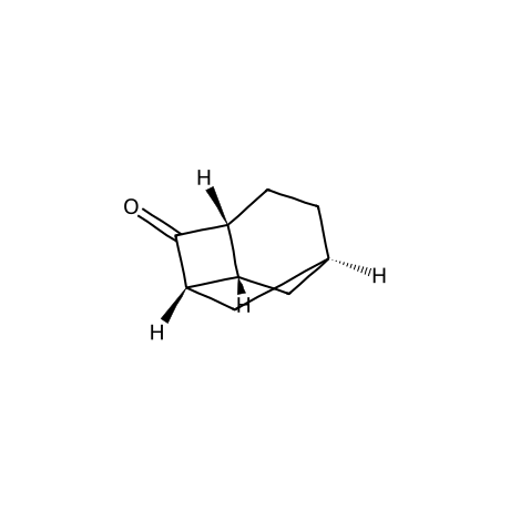 O=C1[C@H]2C[C@H]3CC[C@@H]1[C@@H]2C3